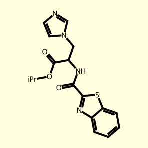 CC(C)OC(=O)C(Cn1ccnc1)NC(=O)c1nc2ccccc2s1